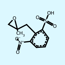 CC1(Cc2c([N+](=O)[O-])cccc2S(=O)(=O)O)CO1